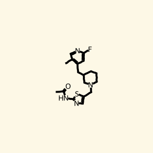 CC(=O)Nc1ncc(CN2CCCC(Cc3cc(F)ncc3C)C2)s1